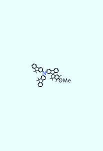 COc1c(C)cc2c(c1C)C(C)(C)CC21c2ccccc2-c2ccc(N(c3ccc4c(c3)C(C)(C)c3ccccc3-4)c3ccc4c(c3)C(C)(C)c3ccccc3-4)cc21